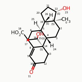 C[C@]12CC[C@H]3[C@@H](CCC4=CC(=O)CC[C@@]43C(O)CC(=O)O)[C@@H]1CC[C@@H]2O